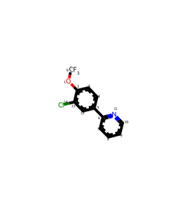 FC(F)(F)Oc1ccc(-c2cc[c]cn2)cc1Cl